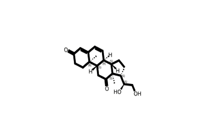 C[C@]12C(=O)C[C@H]3[C@@H](C=CC4=CC(=O)CC[C@@]43C)[C@@H]1CC[C@@H]2[C@H](O)CO